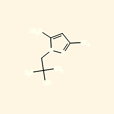 Cc1cc(C(=O)O)n(CC(C)(C)O)n1